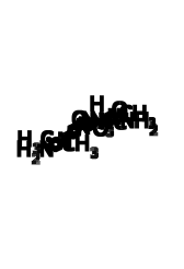 CC1CC(N(C)Cc2ccc(-n3ccc(NC(=O)N4CCN(C(=O)C(C)(C)N)CC4)nc3=O)cc2)CCC1N